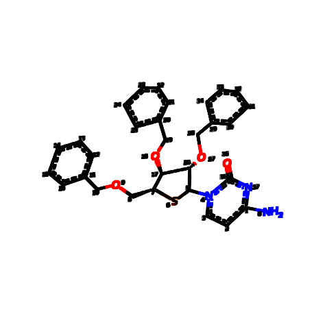 Nc1ccn(C2S[C@@H](COCc3ccccc3)[C@@H](OCc3ccccc3)[C@@H]2OCc2ccccc2)c(=O)n1